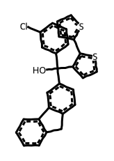 OC(c1cccc(Cl)c1)(c1ccc2c(c1)-c1ccccc1C2)c1ccsc1-c1cccs1